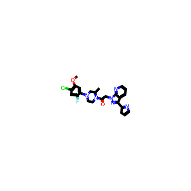 COc1cc(N2CCN(C(=O)Cn3nc(C4=NC=CC4)c4cccnc43)C(C)C2)c(F)cc1Cl